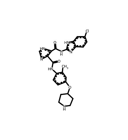 Cc1cc(OC2CCNCC2)ccc1NC(=O)c1nc[nH]c1C(=O)Nc1nc2ccc(Cl)cc2[nH]1